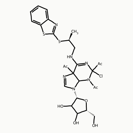 CC(=O)N1C2N([C@@H]3O[C@H](CO)C(O)C3O)C=NC2(C(C)=O)C(NC[C@H](C)Sc2nc3ccccc3s2)=NC1(Cl)C(C)=O